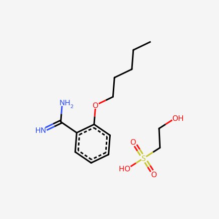 CCCCCOc1ccccc1C(=N)N.O=S(=O)(O)CCO